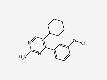 Nc1ncc(C2CCCCC2)c(-c2cccc(OC(F)(F)F)c2)n1